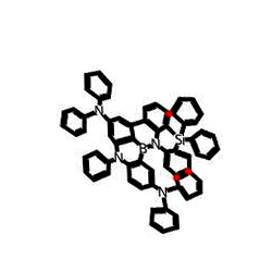 c1ccc(N(c2ccccc2)c2ccc3c(c2)B2c4c(cc(N(c5ccccc5)c5ccccc5)cc4N3c3ccccc3)-c3cccc4c3N2c2ccccc2[Si]4(c2ccccc2)c2ccccc2)cc1